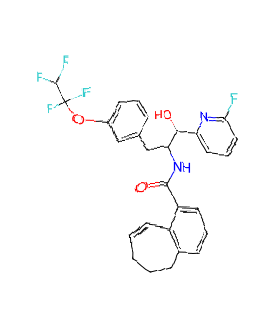 O=C(NC(Cc1cccc(OC(F)(F)C(F)F)c1)C(O)c1cccc(F)n1)c1cccc2c1C=CCCC2